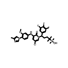 COc1cc(Nc2cc(Cl)cn(C(CCC(C)(C)[Si](C)(C)O)c3cc(F)c(F)c(F)c3)c2=O)ccc1-n1cnc(C)c1